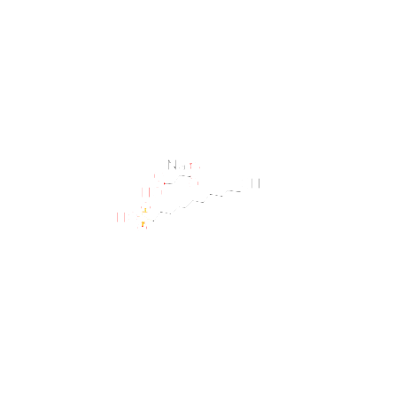 CCCCCCCCCCCCS(=O)(=O)O.O=C([O-])CCC(=O)O.[Na+]